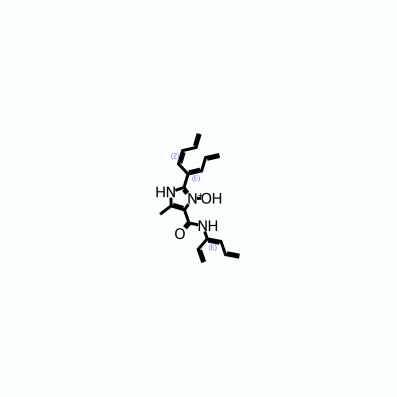 C=C/C=C\C(=C/C=C)c1[nH]c(C)c(C(=O)N/C(C=C)=C/C=C)[n+]1O